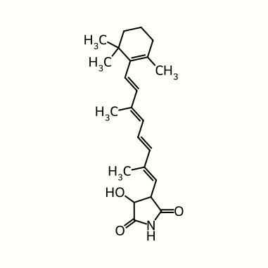 CC1=C(/C=C/C(C)=C/C=C/C(C)=C/C2C(=O)NC(=O)C2O)C(C)(C)CCC1